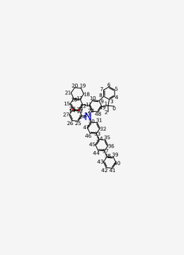 CC1(C)c2ccccc2-c2cc(-c3cccc4c3CCCC4)c(N(c3ccccc3)c3ccc(-c4ccc(-c5ccccc5)cc4)cc3)cc21